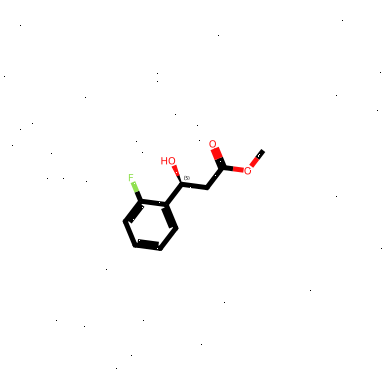 COC(=O)C[C@H](O)c1ccccc1F